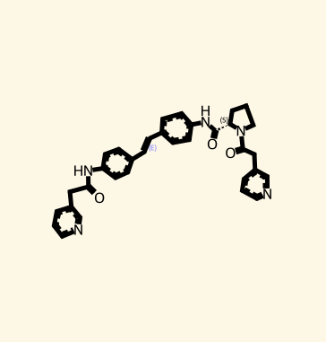 O=C(Cc1cccnc1)Nc1ccc(/C=C/c2ccc(NC(=O)[C@@H]3CCCN3C(=O)Cc3cccnc3)cc2)cc1